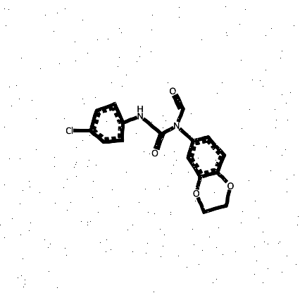 O=CN(C(=O)Nc1ccc(Cl)cc1)c1ccc2c(c1)OCCO2